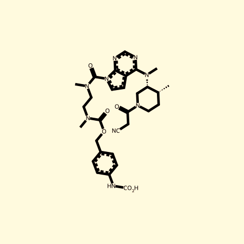 C[C@@H]1CCN(C(=O)CC#N)C[C@@H]1N(C)c1ncnc2c1ccn2C(=O)N(C)CCN(C)C(=O)OCc1ccc(NC(=O)O)cc1